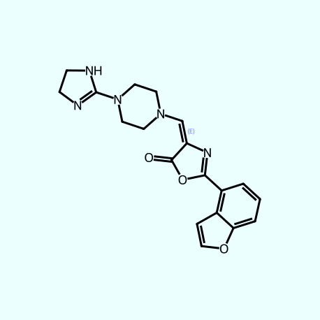 O=C1OC(c2cccc3occc23)=N/C1=C/N1CCN(C2=NCCN2)CC1